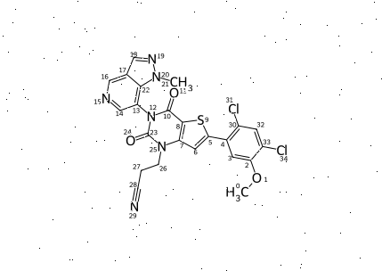 COc1cc(-c2cc3c(s2)c(=O)n(-c2cncc4cnn(C)c24)c(=O)n3CCC#N)c(Cl)cc1Cl